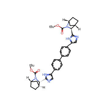 CC(C)(C)OC(=O)N1[C@@H]2CC[C@@H](C2)[C@H]1c1ncc(-c2ccc(-c3ccc(-c4cnc([C@@H]5[C@H]6CC[C@@H](C6)N5C(=O)OC(C)(C)C)[nH]4)cc3)cc2)[nH]1